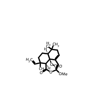 C=CC1(C)CC[C@H]2C(C)(C)CC=C3C=C(OC)OC(=O)[C@@H]1[C@@]32OC=O